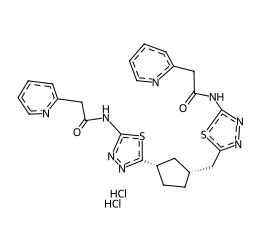 Cl.Cl.O=C(Cc1ccccn1)Nc1nnc(C[C@@H]2CC[C@H](c3nnc(NC(=O)Cc4ccccn4)s3)C2)s1